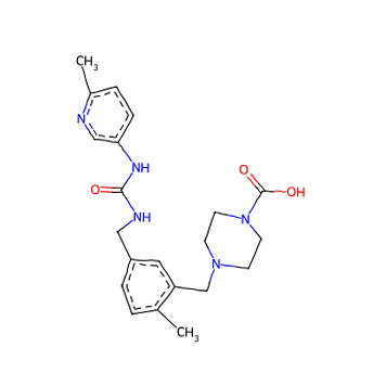 Cc1ccc(NC(=O)NCc2ccc(C)c(CN3CCN(C(=O)O)CC3)c2)cn1